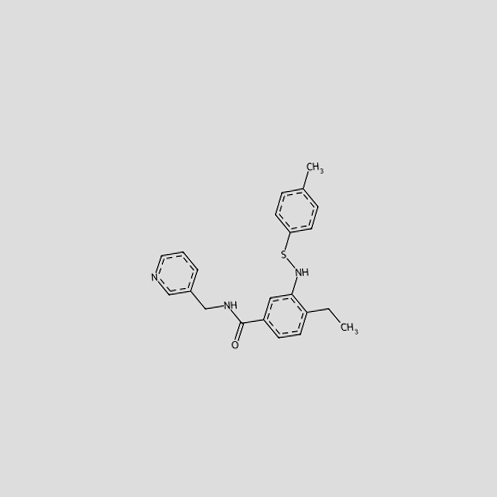 CCc1ccc(C(=O)NCc2cccnc2)cc1NSc1ccc(C)cc1